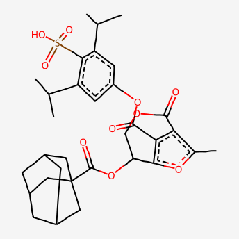 Cc1oc2c(C(=O)Oc3cc(C(C)C)c(S(=O)(=O)O)c(C(C)C)c3)c1C(=O)OCC2OC(=O)C12CC3CC(CC(C3)C1)C2